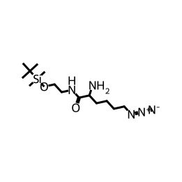 CC(C)(C)[Si](C)(C)OCCNC(=O)C(N)CCCCN=[N+]=[N-]